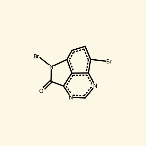 O=C1c2ncnc3c(Br)ccc(c23)N1Br